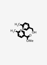 COC(=O)c1ccc(C)nc1.Cc1ccc(CO)cn1